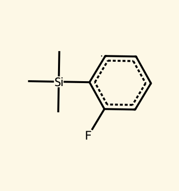 C[Si](C)(C)c1[c]cccc1F